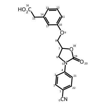 N#Cc1ccc(N2CC(COc3cccc(CC(=O)O)c3)OC2=O)cc1